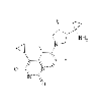 Cc1c(N2CC(F)C(C3(N)CC3)C2)c(F)cn2c(=O)[nH]c(=O)c(C3CC3)c12